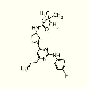 CCCc1cc(N2CC[C@H](NC(=O)OC(C)(C)C)C2)nc(Nc2ccc(F)cc2)n1